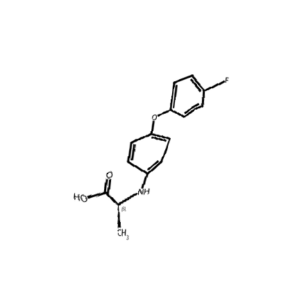 C[C@H](Nc1ccc(Oc2ccc(F)cc2)cc1)C(=O)O